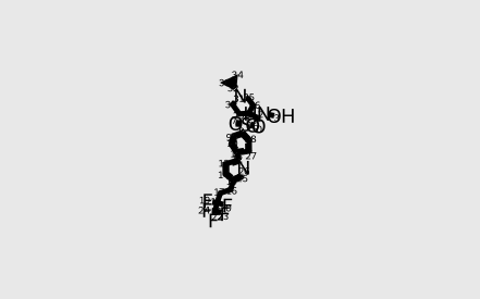 O=C(NO)C1(S(=O)(=O)c2ccc(-c3ccc(CCC(F)(F)C(F)(F)F)cn3)cc2)CCN(C2CC2)CC1